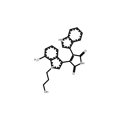 Cc1cccc2c(C3=C(c4c[nH]c5ccccc45)C(=O)NC3=O)cn(CCCO)c12